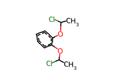 CC(Cl)Oc1ccccc1OC(C)Cl